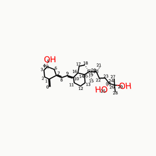 C=C1CC[C@H](O)CC1=CC=C1CCC[C@@]2(C)C1CC[C@@H]2[C@H](C)CC[C@@H](O)C(C)(C)O